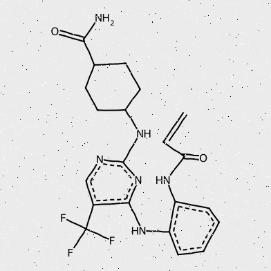 C=CC(=O)Nc1ccccc1Nc1nc(NC2CCC(C(N)=O)CC2)ncc1C(F)(F)F